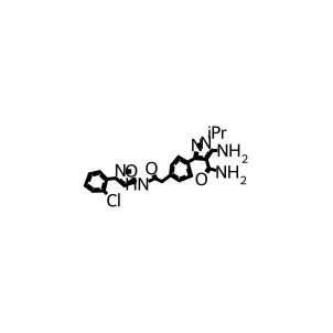 CC(C)n1nc(-c2ccc(CC(=O)Nc3cc(-c4ccccc4Cl)no3)cc2)c(C(N)=O)c1N